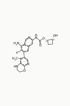 Cc1c(-c2cc3cc(NC(=O)O[C@H]4CC[C@H]4O)ncc3c(N)c2F)cnc2c1NCCO2